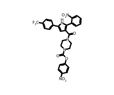 O=C(Oc1ccc([N+](=O)[O-])cc1)N1CCN(C(=O)c2cc(-c3ccc(C(F)(F)F)cc3)[nH]c2-c2ccccc2[N+](=O)[O-])CC1